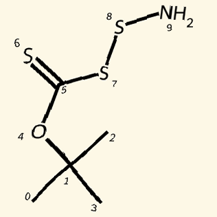 CC(C)(C)OC(=S)SSN